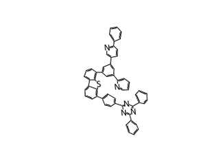 c1ccc(-c2ccc(-c3cc(-c4ccccn4)cc(-c4cccc5c4sc4c(-c6ccc(-c7nc(-c8ccccc8)nc(-c8ccccc8)n7)cc6)cccc45)c3)cn2)cc1